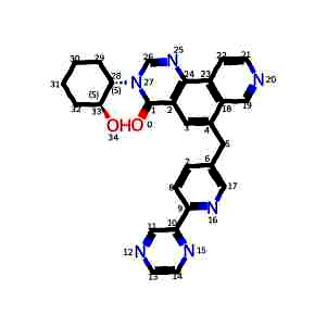 O=c1c2cc(Cc3ccc(-c4cnccn4)nc3)c3cnccc3c2ncn1[C@H]1CCCC[C@@H]1O